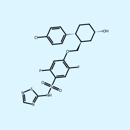 O=S(=O)(Nc1ncns1)c1cc(F)c(OC[C@@H]2C[C@@H](O)CC[C@H]2c2ccc(Cl)cc2)cc1F